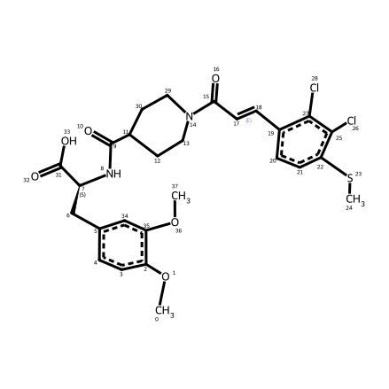 COc1ccc(C[C@H](NC(=O)C2CCN(C(=O)/C=C/c3ccc(SC)c(Cl)c3Cl)CC2)C(=O)O)cc1OC